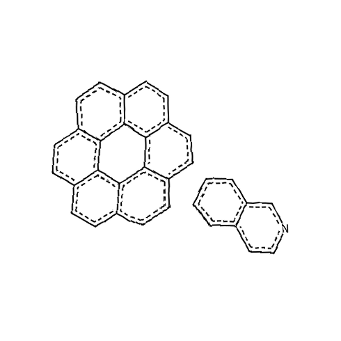 c1cc2ccc3ccc4ccc5ccc6ccc1c1c2c3c4c5c61.c1ccc2cnccc2c1